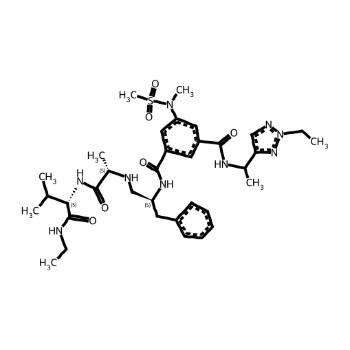 CCNC(=O)[C@@H](NC(=O)[C@H](C)NC[C@H](Cc1ccccc1)NC(=O)c1cc(C(=O)NC(C)c2cnn(CC)n2)cc(N(C)S(C)(=O)=O)c1)C(C)C